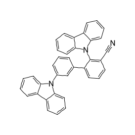 N#Cc1cccc(-c2cccc(-n3c4ccccc4c4ccccc43)c2)c1-n1c2ccccc2c2ccccc21